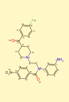 Nc1cccc(N(CCN2CCC(C(=O)c3ccc(F)cc3)CC2)C(=O)c2ccc([N+](=O)[O-])cc2)c1